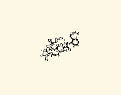 COCc1ccccc1NC(=O)C(=O)N[C@@H](CC(C)C)C(=O)N[C@@H](C[C@@H]1CCNC1=O)C(=O)COC(F)(F)F